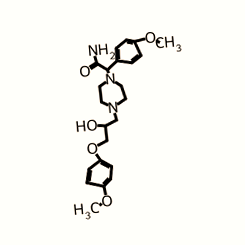 COc1ccc(OCC(O)CN2CCN(C(C(N)=O)c3ccc(OC)cc3)CC2)cc1